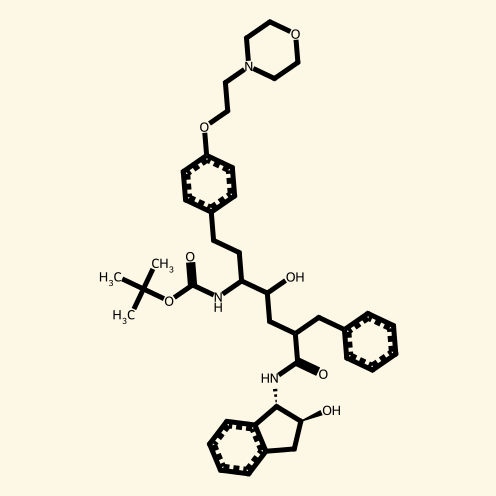 CC(C)(C)OC(=O)NC(CCc1ccc(OCCN2CCOCC2)cc1)C(O)CC(Cc1ccccc1)C(=O)N[C@H]1c2ccccc2C[C@@H]1O